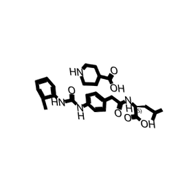 Cc1ccccc1NC(=O)Nc1ccc(CC(=O)N[C@@H](CC(C)C)C(=O)O)cc1.O=C(O)C1CCNCC1